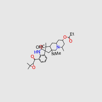 CCC(=O)OC1CC(C)N2CC3(NC)CC4(C(=O)Nc5c(C(=O)C6OC6(C)C)cccc54)C(C)(C=O)C3CC2C1